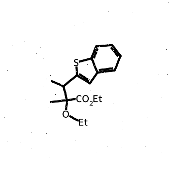 CCOC(=O)C(C)(OCC)C(C)c1cc2ccccc2s1